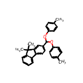 Cc1ccc(OC(Oc2ccc(C)cc2)c2ccc3c(c2)C(C)(C)c2ccccc2-3)cc1